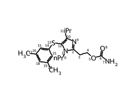 CCCn1c(CCOC(N)=O)nc(C(C)C)c1Sc1cc(C)cc(C)c1